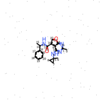 Cc1nc(NC2(C)CC2)c2c(C(=O)NC(C)c3ccccc3)coc2n1